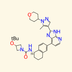 Cc1c(-c2nc3c(-c4ccc5c(c4)CCC[C@@H]5NC(=O)N4CC(OC(C)(C)C)C4)ccnc3[nH]2)cnn1C1CCOCC1